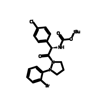 CC(C)(C)OC(=O)N[C@H](C(=O)N1CCCN1c1ccccc1Br)c1ccc(Cl)cc1